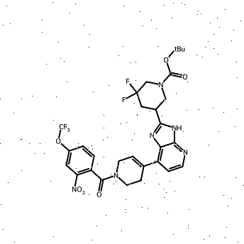 CC(C)(C)OC(=O)N1CC(c2nc3c(C4=CCN(C(=O)c5ccc(OC(F)(F)F)cc5[N+](=O)[O-])CC4)ccnc3[nH]2)CC(F)(F)C1